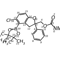 CNC(=O)OCC1(c2ccccc2)Cc2c(ccc(Cl)c2B2OC(C)(C)C(C)(C)O2)O1